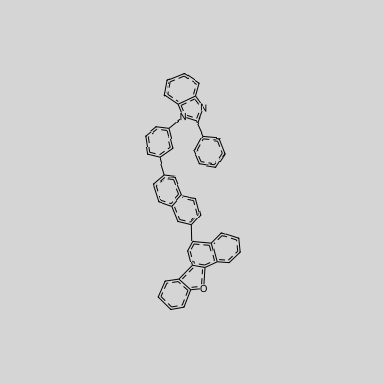 c1ccc(-c2nc3ccccc3n2-c2cccc(-c3ccc4cc(-c5cc6c7ccccc7oc6c6ccccc56)ccc4c3)c2)cc1